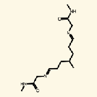 CNC(=O)CN=CCCC(C)CCC=NCC(=O)NC